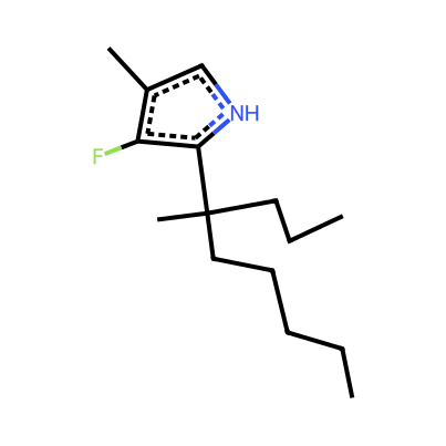 CCCCCC(C)(CCC)c1[nH]cc(C)c1F